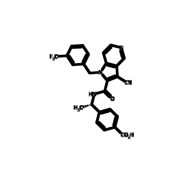 C[C@H](NC(=O)c1c(C#N)c2cnccc2n1Cc1cccc(C(F)(F)F)c1)c1ccc(C(=O)O)cc1